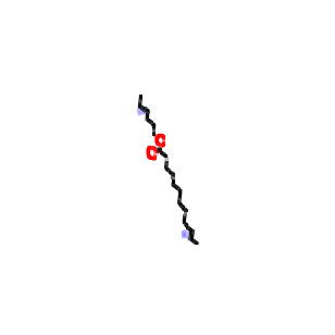 C/C=C/CCCCCCCCC(=O)OCCC/C=C/C